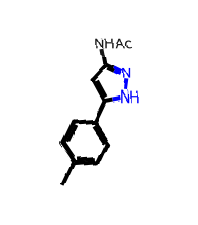 CC(=O)Nc1cc(-c2ccc(C)cc2)[nH]n1